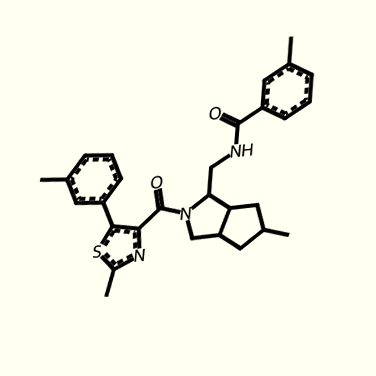 Cc1cccc(C(=O)NCC2C3CC(C)CC3CN2C(=O)c2nc(C)sc2-c2cccc(C)c2)c1